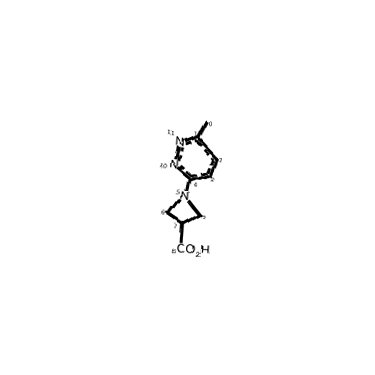 Cc1ccc(N2CC(C(=O)O)C2)nn1